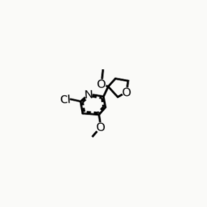 COc1cc(Cl)nc(C2(OC)CCOC2)c1